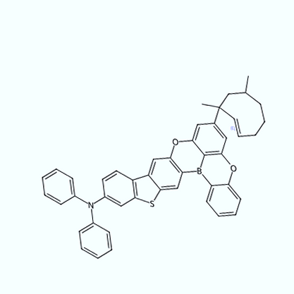 CC1CCC/C=C/C(C)(c2cc3c4c(c2)Oc2cc5c(cc2B4c2ccccc2O3)sc2cc(N(c3ccccc3)c3ccccc3)ccc25)C1